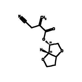 C=C(CC#N)C(=O)O[C@@H]1COC2CCO[C@@H]21